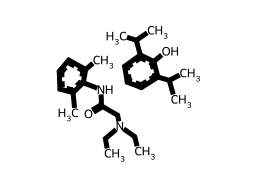 CC(C)c1cccc(C(C)C)c1O.CCN(CC)CC(=O)Nc1c(C)cccc1C